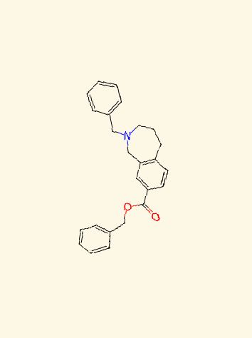 O=C(OCc1ccccc1)c1ccc2c(c1)CN(Cc1ccccc1)CCC2